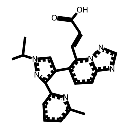 Cc1cccc(-c2nn(C(C)C)cc2-c2ccc3ncnn3c2/C=C/C(=O)O)n1